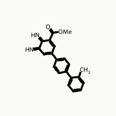 COC(=O)C1=CC(c2ccc(-c3ccccc3C)cc2)=CC(=N)C1=N